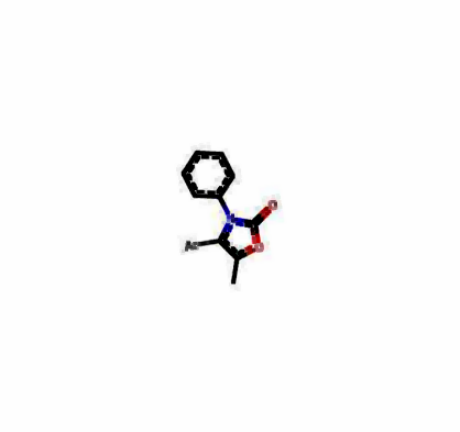 CC(=O)c1c(C)oc(=O)n1-c1ccccc1